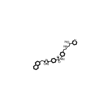 O=S(=O)(Nc1ccc(CCNCC(O)c2cccnc2)cc1)c1ccc(-c2noc(Cc3ccc4ccccc4c3)n2)cc1